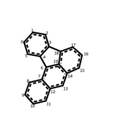 [c]1ccc2c(c1)-c1c3ccccc3cc3cccc-2c13